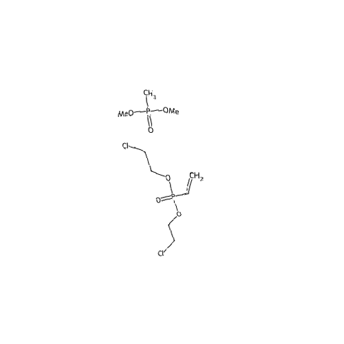 C=CP(=O)(OCCCl)OCCCl.COP(C)(=O)OC